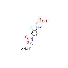 CC(=O)NC[C@H]1CN(c2ccc(N3CCP(=O)(O)CC3)c(F)c2)C(=O)O1